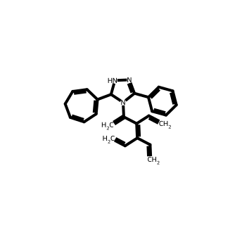 C=CC(C=C)=C(C=C)C(=C)N1C(c2ccccc2)=NNC1C1=CC=CCC=C1